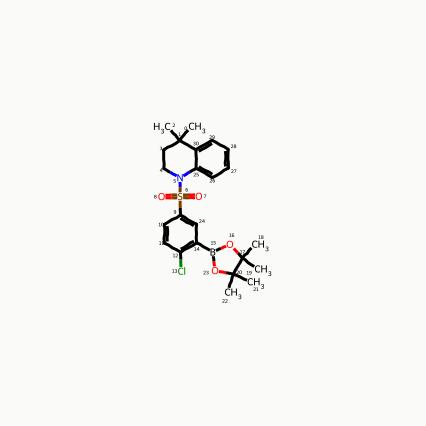 CC1(C)CCN(S(=O)(=O)c2ccc(Cl)c(B3OC(C)(C)C(C)(C)O3)c2)c2ccccc21